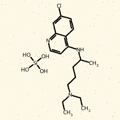 CCN(CC)CCCC(C)Nc1ccnc2cc(Cl)ccc12.O[Si](O)(O)O